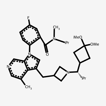 COC1(OC)CC([C@H](C(C)C)N2CC(Cc3cn(-c4ccc(F)cc4C(=O)N(C)C(C)C)c4cncc(C)c34)C2)C1